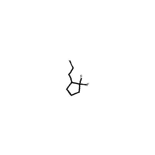 [CH2]CCC1CCCC1(F)F